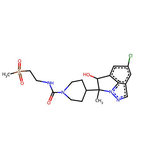 CC1(C2CCN(C(=O)NCCS(C)(=O)=O)CC2)C(O)c2cc(Cl)cc3cnn1c23